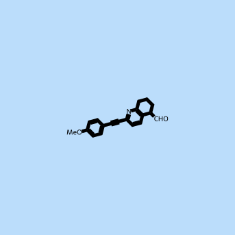 COc1ccc(C#Cc2ccc3c(n2)CCCC3C=O)cc1